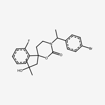 CC(c1ccc(Br)cc1)N1CCC(CC(C)(C)O)(c2ccccc2F)OC1=O